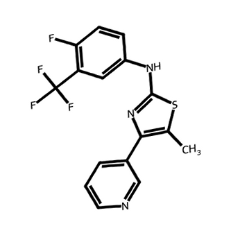 Cc1sc(Nc2ccc(F)c(C(F)(F)F)c2)nc1-c1cccnc1